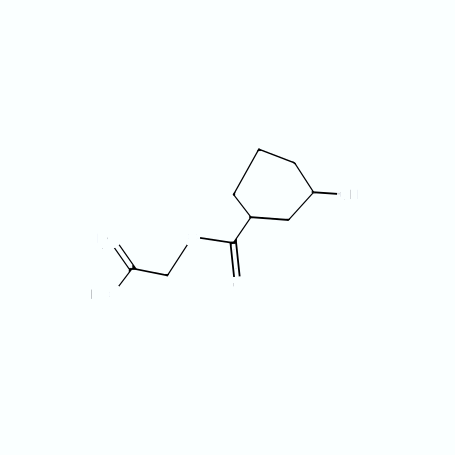 C=C(C)COC(=O)C1CCCC(C)C1